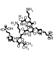 CC(C)NC(=O)[C@H](Cc1cn(CCP(=O)(O)O)nn1)NC(=O)[C@H](CCCCN)NC(=O)[C@H](C)NC(=O)[C@H](Cc1cn(CCP(=O)(O)O)nn1)NC(=O)[C@H](CCCCN)NC(=O)[C@H](C)N